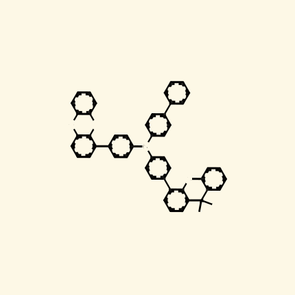 CC1(C)c2ccccc2Sc2c(-c3ccc(N(c4ccc(-c5ccccc5)cc4)c4ccc(-c5cccc6c5Sc5ccccc5O6)cc4)cc3)cccc21